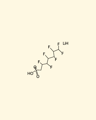 O=S(=O)(O)CC(F)C(F)C(F)C(F)C(F)C(F)F.[LiH]